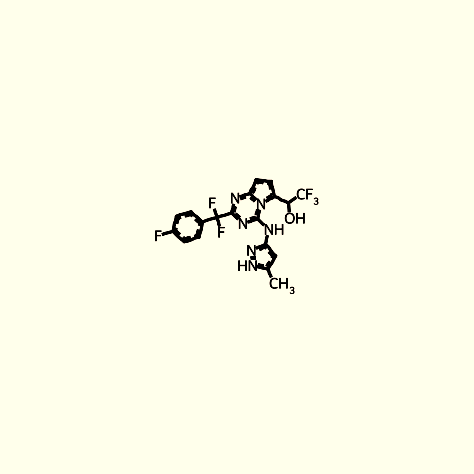 Cc1cc(Nc2nc(C(F)(F)c3ccc(F)cc3)nc3ccc(C(O)C(F)(F)F)n23)n[nH]1